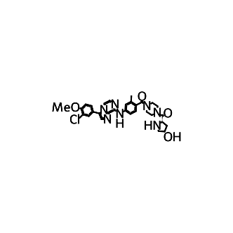 COc1ccc(-c2cnc3c(Nc4ccc(C(=O)N5CCN(C(=O)[C@@H]6C[C@@H](O)CN6)CC5)c(C)c4)nccn23)cc1Cl